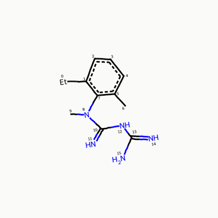 CCc1cccc(C)c1N(C)C(=N)NC(=N)N